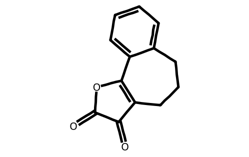 O=C1OC2=C(CCCc3ccccc32)C1=O